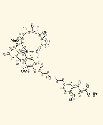 CC[C@@H]1OC(=O)[C@H](C)[C@H](O[C@@H]2C[C@](C)(OC)[C@H](OC(=O)CCNCCCc3ccc4c(c3)c(=O)c(C(=O)OC(C)C)cn4CC)[C@H](C)O2)[C@@H](C)[C@H](O[C@@H]2O[C@H](C)C[C@H](N(C)C)[C@@H]2O)[C@](C)(OC)C[C@H](C)C(=O)[C@H](C)[C@@H](O)[C@]1(C)O